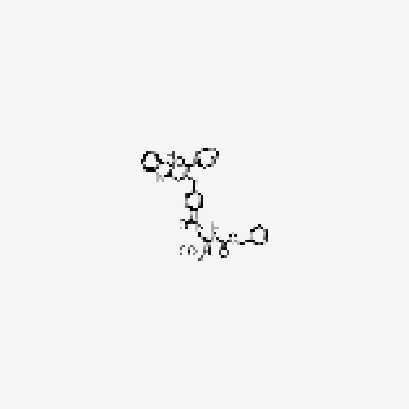 O=C(N[C@@H](CNC(=O)c1ccc(CN(Cc2nc3ccccc3[nH]2)C(=O)N2CCOCC2)cc1)C(=O)O)OCc1ccccc1